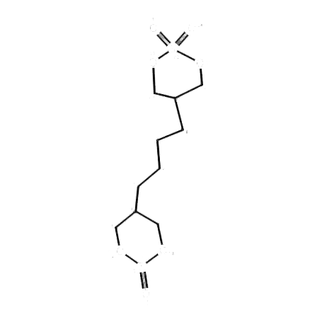 O=S1OCC(CCCCC2COS(=O)(=O)OC2)CO1